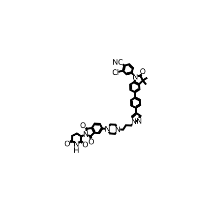 CC1(C)C(=O)N(c2ccc(C#N)c(Cl)c2)c2ccc(-c3ccc(-c4cnn(CCCN5CCN(c6ccc7c(c6)C(=O)N(C6CCC(=O)NC6=O)C7=O)CC5)c4)cc3)cc21